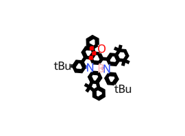 CC(C)(C)c1ccc(N2B3c4cc5c(cc4N(c4ccc(C(C)(C)C)cc4-c4ccccc4)c4cc6c(oc7ccccc76)c(c43)-c3cc4c(cc32)C(C)(C)CCC4(C)C)C(C)(C)c2ccccc2-5)cc1